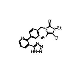 CCCc1c(Cl)n(CC)c(=O)n1Cc1ccc(-c2ncccc2-c2nnn[nH]2)cc1